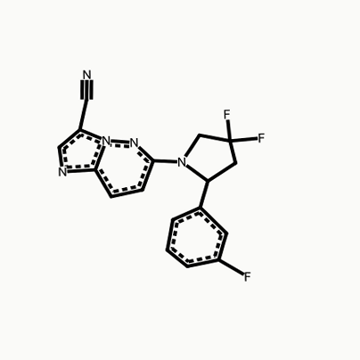 N#Cc1cnc2ccc(N3CC(F)(F)CC3c3cccc(F)c3)nn12